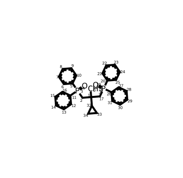 CC(CP(=O)(c1ccccc1)c1ccccc1)(CP(=O)(c1ccccc1)c1ccccc1)C1CC1